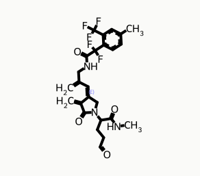 C=C(/C=C1/CN(C(CCC=O)C(=O)NC)C(=O)C1=C)CNC(=O)C(F)(F)c1ccc(C)cc1C(F)(F)F